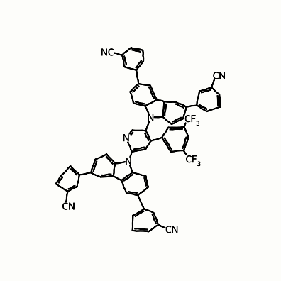 N#Cc1cccc(-c2ccc3c(c2)c2cc(-c4cccc(C#N)c4)ccc2n3-c2cc(-c3cc(C(F)(F)F)cc(C(F)(F)F)c3)c(-n3c4ccc(-c5cccc(C#N)c5)cc4c4cc(-c5cccc(C#N)c5)ccc43)cn2)c1